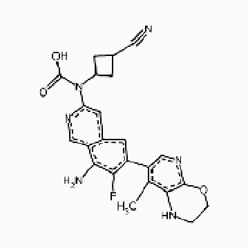 Cc1c(-c2cc3cc(N(C(=O)O)C4CC(C#N)C4)ncc3c(N)c2F)cnc2c1NCCO2